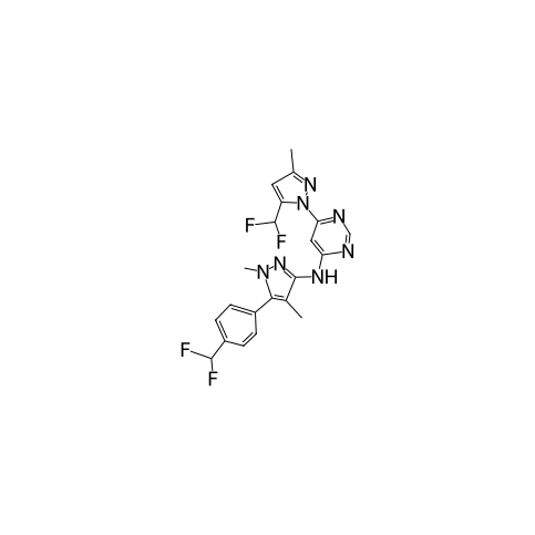 Cc1cc(C(F)F)n(-c2cc(Nc3nn(C)c(-c4ccc(C(F)F)cc4)c3C)ncn2)n1